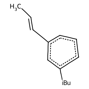 CC=Cc1cccc(C(C)CC)c1